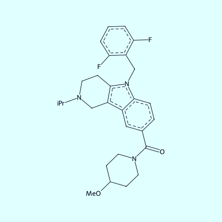 COC1CCN(C(=O)c2ccc3c(c2)c2c(n3Cc3c(F)cccc3F)CCN(C(C)C)C2)CC1